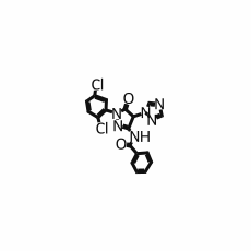 O=C(NC1=NN(c2cc(Cl)ccc2Cl)C(=O)C1n1cncn1)c1ccccc1